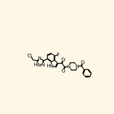 O=C(C(=O)N1CCN(C(=O)c2ccccc2)CC1)c1c[nH]c2c(-c3n[nH]c(CCl)n3)ccc(F)c12